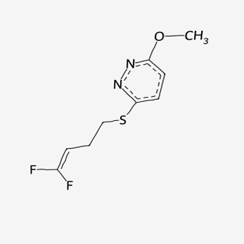 COc1ccc(SCCC=C(F)F)nn1